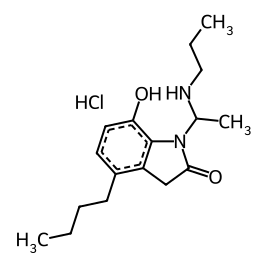 CCCCc1ccc(O)c2c1CC(=O)N2C(C)NCCC.Cl